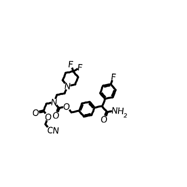 N#CCOC(=O)CN(CCN1CCC(F)(F)CC1)C(=O)OCc1ccc(C(C(N)=O)c2ccc(F)cc2)cc1